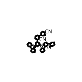 N#Cc1ccc(-c2cccc(-c3cc(-n4c5ccccc5c5ccccc54)cc(-n4c5ccccc5c5c6oc7ccccc7c6ccc54)c3)c2C#N)cc1